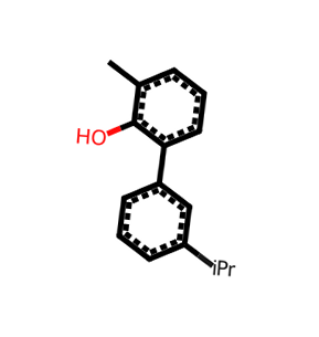 Cc1cccc(-c2cccc(C(C)C)c2)c1O